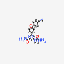 CCN(C(N)=O)c1cc(C(N)=O)nc(-c2ccc(Oc3ccc(C#N)cc3)cc2)n1